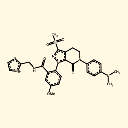 COc1ccc(-n2nc(S(C)(=O)=O)c3c2C(=O)N(c2ccc(N(C)C)cc2)CC3)c(C(=O)NCc2ncc[nH]2)c1